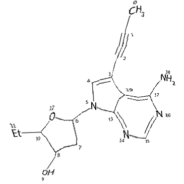 CC#Cc1cn(C2CC(O)C(CC)O2)c2ncnc(N)c12